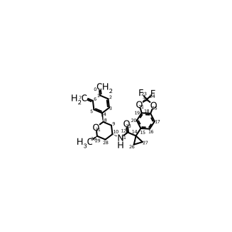 C=C/C=C\C(=C/C=C)[C@H]1C[C@H](NC(=O)C2(c3ccc4c(c3)OC(F)(F)O4)CC2)C[C@@H](C)O1